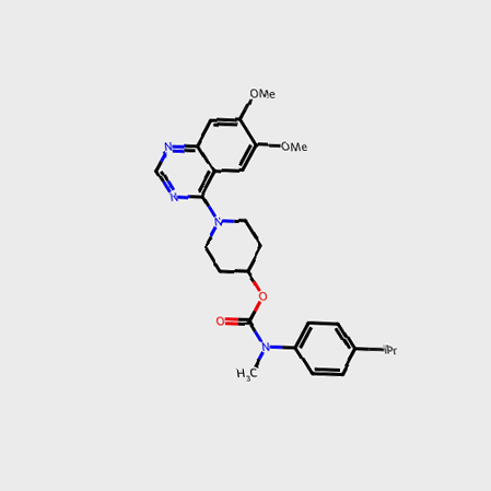 COc1cc2ncnc(N3CCC(OC(=O)N(C)c4ccc(C(C)C)cc4)CC3)c2cc1OC